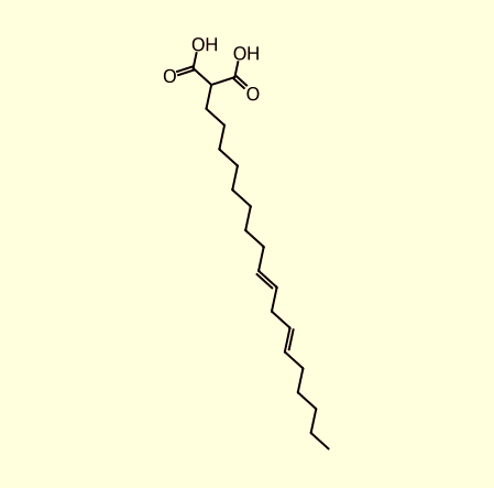 CCCCCC=CCC=CCCCCCCCCC(C(=O)O)C(=O)O